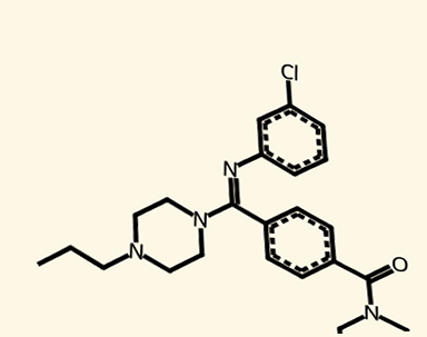 CCCN1CCN(C(=Nc2cccc(Cl)c2)c2ccc(C(=O)N(CC)CC)cc2)CC1